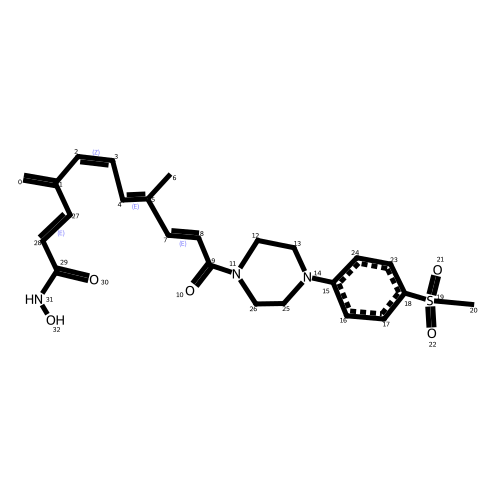 C=C(\C=C/C=C(C)/C=C/C(=O)N1CCN(c2ccc(S(C)(=O)=O)cc2)CC1)/C=C/C(=O)NO